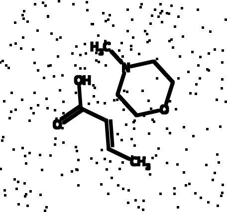 CC=CC(=O)O.CN1CCOCC1